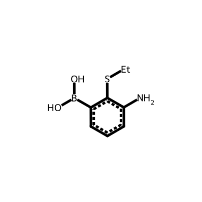 CCSc1c(N)cccc1B(O)O